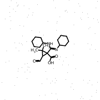 CC1(C)C(C=O)C1(C(=O)O)C(=NC1CCCCC1)NC1CCCCC1